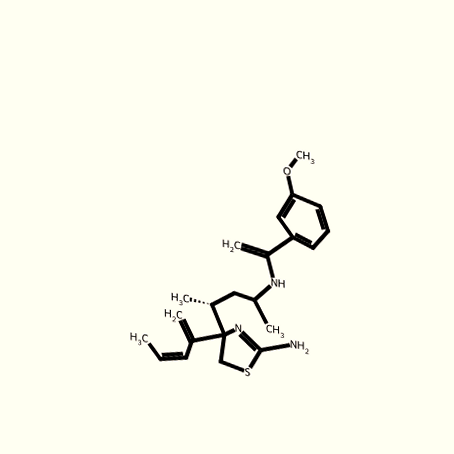 C=C(NC(C)C[C@@H](C)C1(C(=C)/C=C\C)CSC(N)=N1)c1cccc(OC)c1